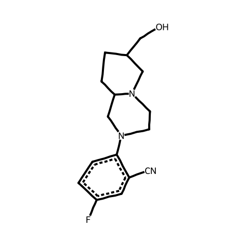 N#Cc1cc(F)ccc1N1CCN2CC(CO)CCC2C1